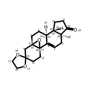 C[C@]12CC=C3[C@@H](CC[C@]45CC6(CC[C@@]34O5)OCCO6)[C@@H]1CCC2=O